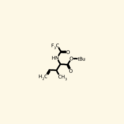 C=CC(C)C(NC(=O)C(F)(F)F)C(=O)OC(C)(C)C